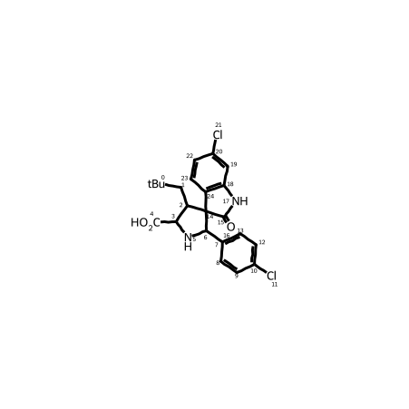 CC(C)(C)CC1C(C(=O)O)NC(c2ccc(Cl)cc2)C12C(=O)Nc1cc(Cl)ccc12